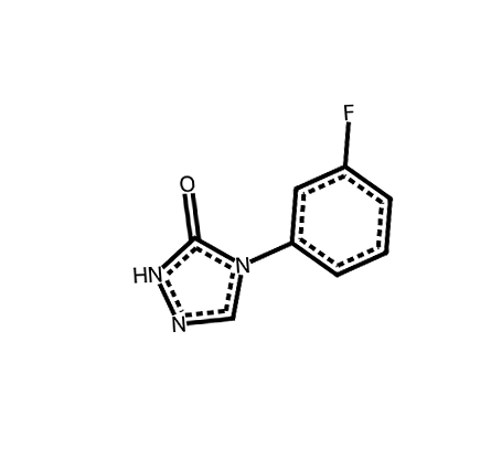 O=c1[nH]ncn1-c1cccc(F)c1